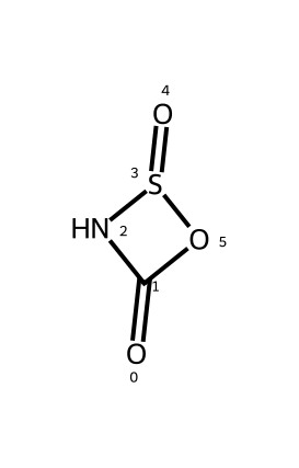 O=C1NS(=O)O1